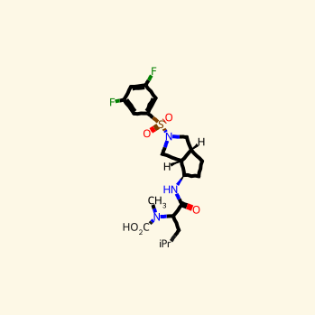 CC(C)CC(C(=O)N[C@@H]1CC[C@H]2CN(S(=O)(=O)c3cc(F)cc(F)c3)C[C@H]21)N(C)C(=O)O